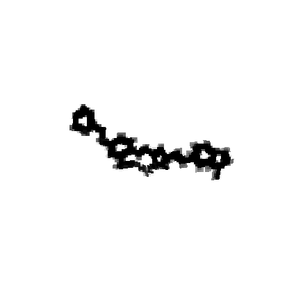 COc1cc(OCc2ccccn2)ccc1/C=C/c1cc(/C=C/c2ccc3cc[nH]c3c2)nn1C